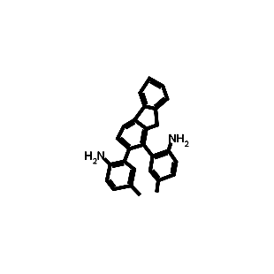 Cc1ccc(N)c(-c2ccc3c(c2-c2cc(C)ccc2N)Cc2ccccc2-3)c1